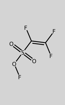 O=S(=O)(OF)C(F)=C(F)F